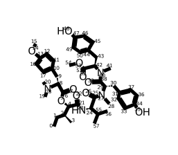 CC[C@H](C)[C@@H](OC(=O)[C@@H](Cc1ccc(OC)cc1)N(C)C)C(=O)N[C@H](C(=O)N(C)[C@@H](Cc1ccc(O)cc1)C(=O)N(C)[C@H](Cc1ccc(O)cc1)C(=O)OC)C(C)C